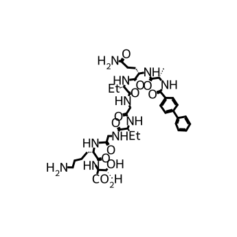 CC[C@H](NC(=O)CNC(=O)[C@H](CC)NC(=O)[C@H](CCC(N)=O)NC(=O)[C@H](C)NC(=O)c1ccc(-c2ccccc2)cc1)C(=O)NCC(=O)N[C@@H](CCCCN)C(=O)NC(C(=O)O)[C@@H](C)O